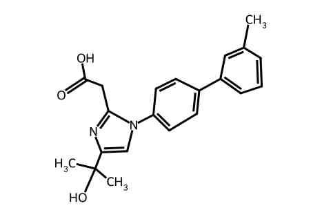 Cc1cccc(-c2ccc(-n3cc(C(C)(C)O)nc3CC(=O)O)cc2)c1